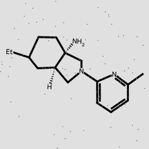 CCC1CC[C@@]2(N)CN(c3cccc(C)n3)C[C@H]2C1